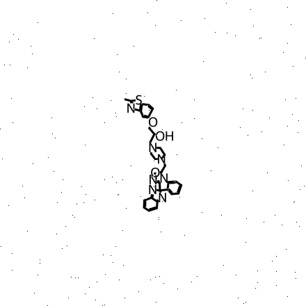 Cc1nc2cc(OCC(O)CN3CCN(Cc4nc(C5(c6ccccc6)N=c6ccccc6=N5)no4)CC3)ccc2s1